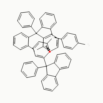 N#Cc1ccc(N(c2cccc(C3(c4ccccc4)c4ccccc4-c4ccccc43)c2)c2ccccc2C2(c3ccccc3)c3ccccc3Oc3ccccc32)cc1